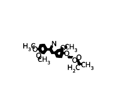 C=C(C)C(=O)OCCOc1ccc(C=C(C#N)c2ccc(OC)c(OC)c2)cc1OC